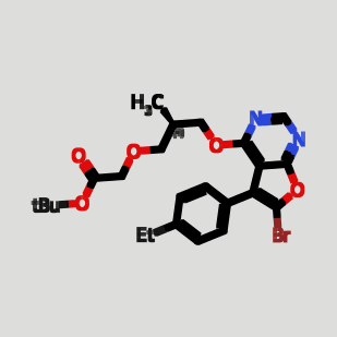 CCc1ccc(-c2c(Br)oc3ncnc(OC[C@H](C)COCC(=O)OC(C)(C)C)c23)cc1